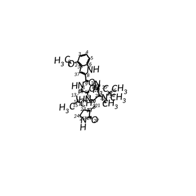 COc1cccc2[nH]c(C(=O)N[C@@H](CC(C)C)C(=O)N[C@@H](C[C@@H]3CCNC3=O)C(C#N)N(C)C(C)(C)C)cc12